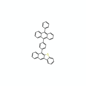 c1ccc(-c2c3ccccc3c(-c3ccc(-c4c5ccccc5cc5c4sc4ccccc45)cc3)c3ccccc23)cc1